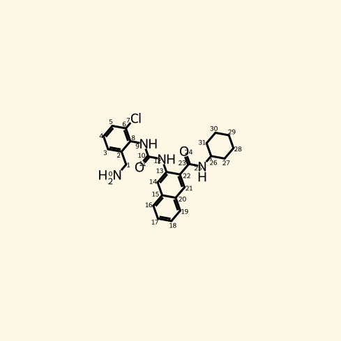 NCc1cccc(Cl)c1NC(=O)Nc1cc2ccccc2cc1C(=O)N[C]1CCCCC1